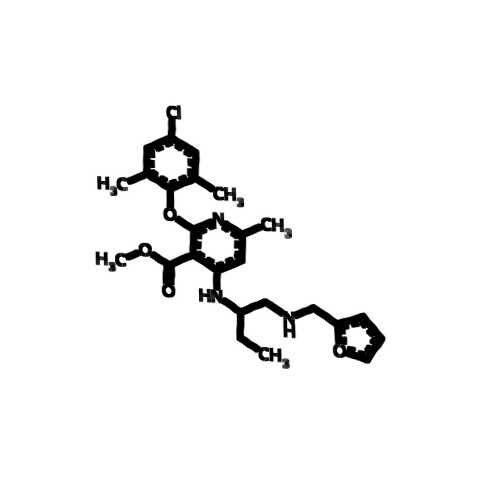 CCC(CNCc1ccco1)Nc1cc(C)nc(Oc2c(C)cc(Cl)cc2C)c1C(=O)OC